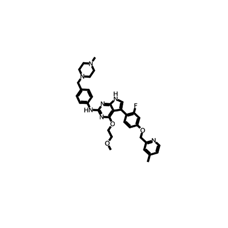 COCCOc1nc(Nc2ccc(CN3CCN(C)CC3)cc2)nc2[nH]cc(-c3ccc(OCc4cc(C)ccn4)cc3F)c12